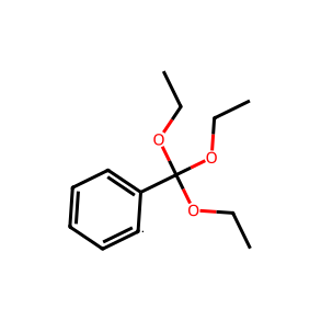 CCOC(OCC)(OCC)c1[c]cccc1